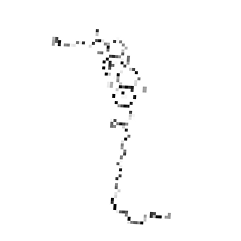 CCCCC/C=C\C/C=C\CCCCCCCC(=O)O[C@H]1CC[C@@]2(C)[C@@H](CC[C@@H]3[C@@H]2CC[C@]2(C)[C@@H]([C@H](C)CCCC(C)C)CC[C@@H]32)C1